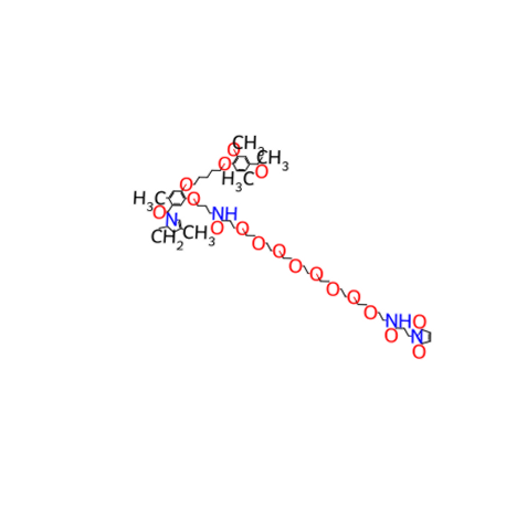 C=CC1CC(C)=CN1C(=O)c1cc(OCCCNC(=O)CCOCCOCCOCCOCCOCCOCCOCCOCCNC(=O)CCN2C(=O)C=CC2=O)c(OCCCCCOc2cc(C)c(C(C)=O)cc2OC)cc1C